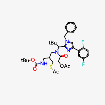 CC(=O)OCC(=O)N(CC(CNC(=O)OC(C)(C)C)CSC(C)=O)C(c1nc(-c2cc(F)ccc2F)cn1Cc1ccccc1)C(C)(C)C